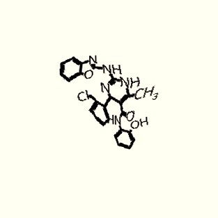 CC1=C(C(=O)Nc2ccccc2O)C(c2ccccc2Cl)N=C(Nc2nc3ccccc3o2)N1